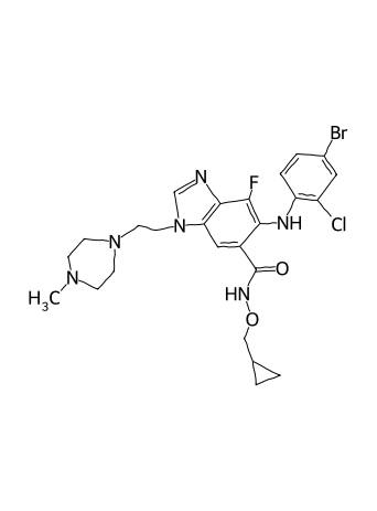 CN1CCN(CCn2cnc3c(F)c(Nc4ccc(Br)cc4Cl)c(C(=O)NOCC4CC4)cc32)CC1